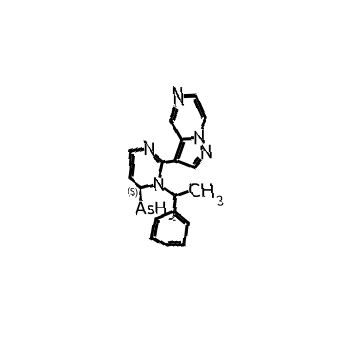 CC(c1ccccc1)N1C(c2cnn3ccncc23)=NC=C[C@@H]1[AsH2]